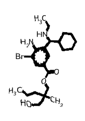 CCCC(C)(CO)COC(=O)c1cc(Br)c(N)c(C(NCC)C2CCCCC2)c1